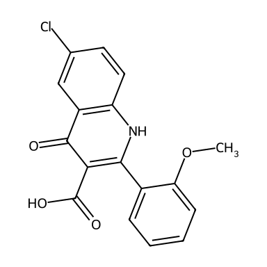 COc1ccccc1-c1[nH]c2ccc(Cl)cc2c(=O)c1C(=O)O